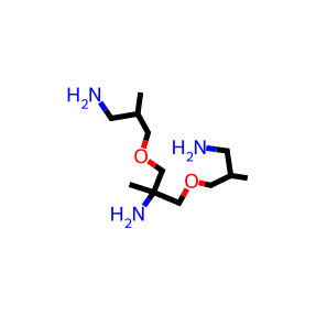 CC(CN)COCC(C)(N)COCC(C)CN